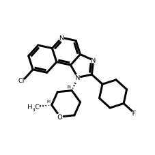 C[C@@H]1C[C@H](n2c(C3CCC(F)CC3)nc3cnc4ccc(Cl)cc4c32)CCO1